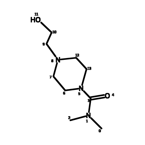 CN(C)C(=O)N1CCN(CCO)CC1